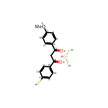 COc1ccc(C(=O)CC(=O)c2ccc(F)cc2)cc1.F[B]F